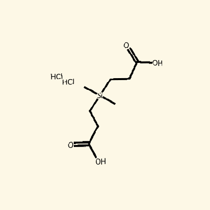 C[Si](C)(CCC(=O)O)CCC(=O)O.Cl.Cl